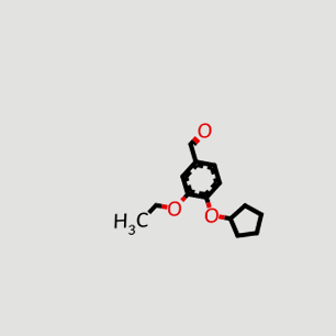 CCOc1cc(C=O)ccc1OC1CCCC1